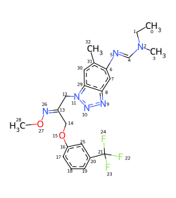 CCN(C)/C=N/c1cc2nnn(C/C(COc3cccc(C(F)(F)F)c3)=N/OC)c2cc1C